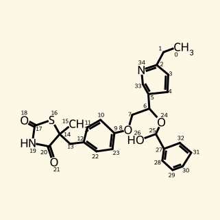 CCc1ccc(C(COc2ccc(CC3(C)SC(=O)NC3=O)cc2)OC(O)c2ccccc2)cn1